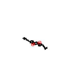 CC(C)(C)CCCCc1ccc2c(c1)oc1cc3c(cc12)oc1cc(CCCCC(C)(C)C)ccc13